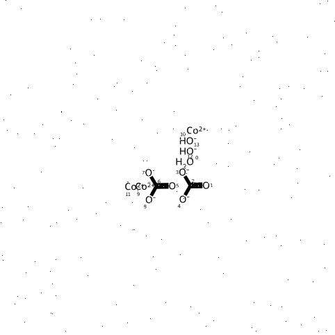 O.O=C([O-])[O-].O=C([O-])[O-].[Co+2].[Co+2].[Co+2].[OH-].[OH-]